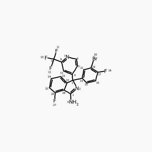 NC1=NC(c2ccnc(C(F)(F)F)c2)(c2ccc(F)c(Br)c2)c2cccc(F)c21